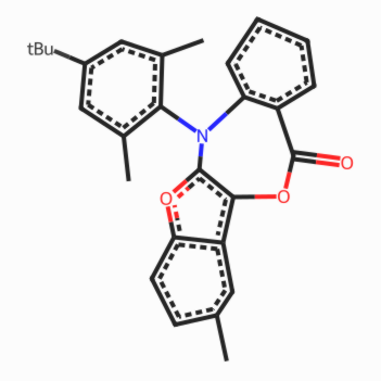 Cc1ccc2oc3c(c2c1)OC(=O)c1ccccc1N3c1c(C)cc(C(C)(C)C)cc1C